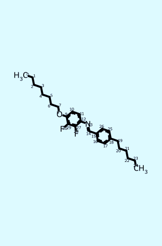 CCCCCCCCOc1ccc(N=Cc2ccc(CCCCCC)cc2)c(F)c1F